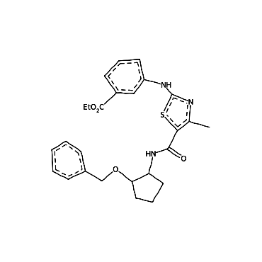 CCOC(=O)c1cccc(Nc2nc(C)c(C(=O)NC3CCCC3OCc3ccccc3)s2)c1